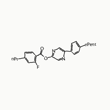 CCCCCc1ccc(-c2cnc(OC(=O)c3ccc(CCC)cc3F)cn2)cc1